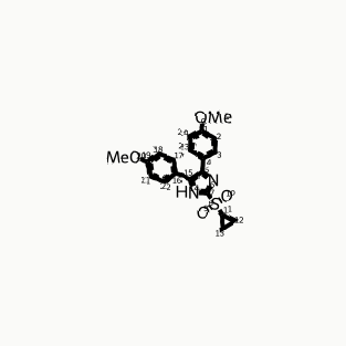 COc1ccc(-c2nc(S(=O)(=O)C3CC3)[nH]c2-c2ccc(OC)cc2)cc1